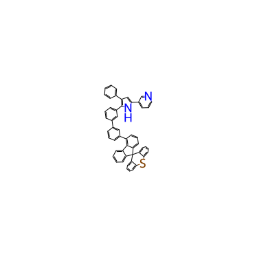 c1ccc(-c2cc(-c3cccnc3)[nH]c2-c2cccc(-c3cccc(-c4cccc5c4-c4ccccc4C54c5ccccc5Sc5ccccc54)c3)c2)cc1